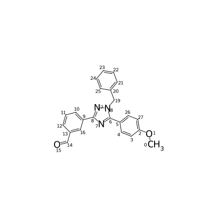 COc1ccc(-c2nc(-c3cccc(C=O)c3)nn2Cc2ccccc2)cc1